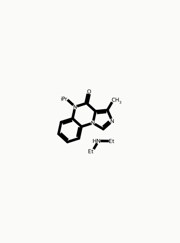 CCNCC.Cc1ncn2c1c(=O)n(C(C)C)c1ccccc12